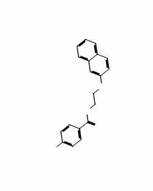 O=C(O)c1ccc(C(=O)OCCOc2ccc3ccccc3c2)cc1